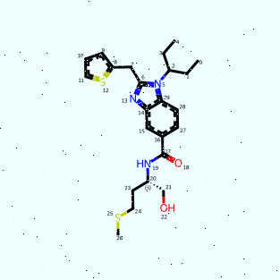 CCC(CC)n1c(Cc2cccs2)nc2cc(C(=O)N[C@H](CO)CCSC)ccc21